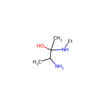 CCNC(C)(O)C(C)N